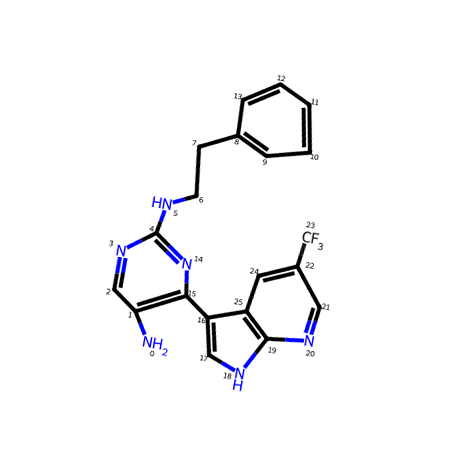 Nc1cnc(NCCc2ccccc2)nc1-c1c[nH]c2ncc(C(F)(F)F)cc12